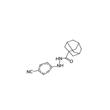 N#Cc1ccc(NNC(=O)C23CC4CC(CC(C4)C2)C3)cc1